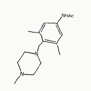 CC(=O)Nc1cc(C)c(N2CCN(C)CC2)c(C)c1